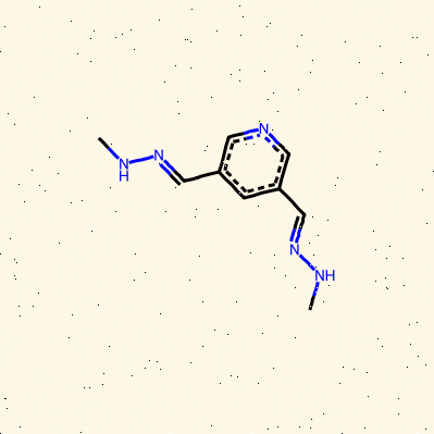 CNN=Cc1cncc(C=NNC)c1